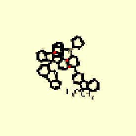 CC1(C)c2ccccc2-c2cc(-c3ccc(N(c4ccccc4)c4ccccc4-c4cccc5c4C4(c6ccccc6-c6ccccc64)c4cccc6c7ccccc7n-5c46)cc3)ccc21